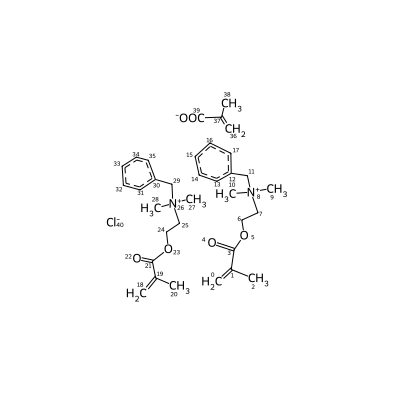 C=C(C)C(=O)OCC[N+](C)(C)Cc1ccccc1.C=C(C)C(=O)OCC[N+](C)(C)Cc1ccccc1.C=C(C)C(=O)[O-].[Cl-]